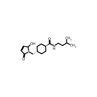 CC(C)CCNC(=O)[C@H]1CC[C@H](CN2C(=O)C=CC2O)CC1